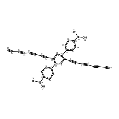 C#CC#CC#CC#Cc1cc(-c2ccc(B(O)O)cc2)c(C#CC#CC#CC#C)cc1-c1ccc(B(O)O)cc1